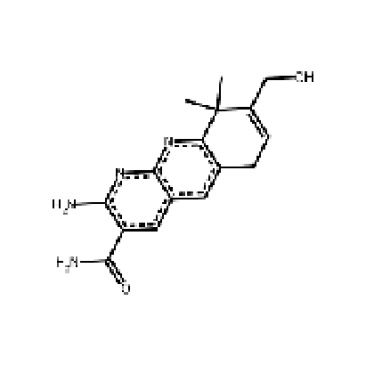 CC1(C)C(CO)=CCc2cc3cc(C(N)=O)c(N)nc3nc21